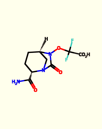 NC(=O)[C@@H]1CC[C@@H]2CN1C(=O)N2OC(F)(F)C(=O)O